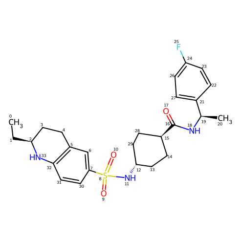 CC[C@H]1CCc2cc(S(=O)(=O)N[C@H]3CC[C@H](C(=O)N[C@H](C)c4ccc(F)cc4)CC3)ccc2N1